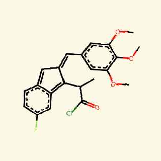 COc1cc(/C=C2/C=c3ccc(F)cc3=C2C(C)C(=O)Cl)cc(OC)c1OC